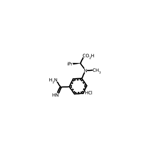 CC(C)[C@@H](C(=O)O)N(C)c1cccc(C(=N)N)c1.Cl